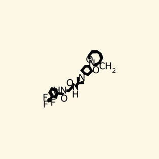 C=C1/C=C\C=C/CON([C@H]2CC[C@@H](N3CC(NC(=O)CNC(=O)c4cccc(C(F)(F)F)c4)C3)CC2)C1=O